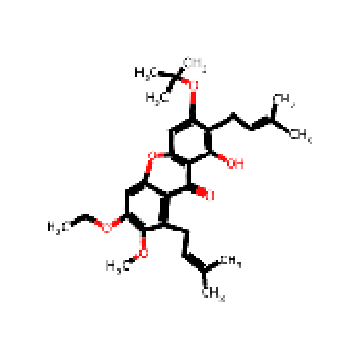 CCOc1cc2oc3cc(OC(C)(C)C)c(CC=C(C)C)c(O)c3c(=O)c2c(CC=C(C)C)c1OC